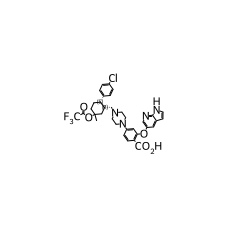 CC1(OC(=O)C(F)(F)F)CC[C@H](c2ccc(Cl)cc2)[C@H](CN2CCN(c3ccc(C(=O)O)c(Oc4cnc5[nH]ccc5c4)c3)CC2)C1